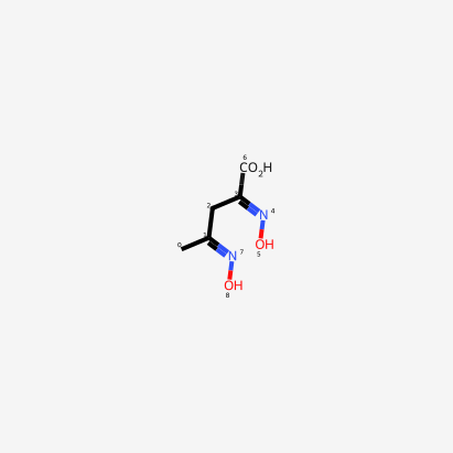 CC(CC(=NO)C(=O)O)=NO